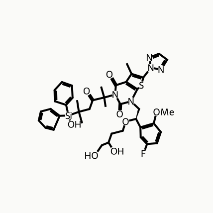 COc1ccc(F)cc1[C@H](Cn1c(=O)n(C(C)(C)C(=O)CC(C)(C)[Si](O)(c2ccccc2)c2ccccc2)c(=O)c2c(C)c(-n3nccn3)sc21)OCCC(O)CO